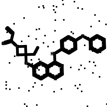 C=CC(=O)N1CC(CC)(Oc2ccc3ncnc(Nc4ccc(Oc5ccccc5)cc4)c3n2)C1